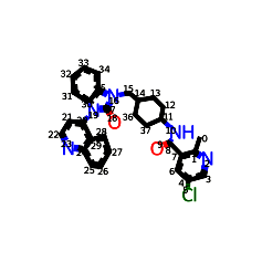 Cc1ncc(Cl)cc1C(=O)NC1CCC(Cn2c(=O)n(-c3ccnc4ccccc34)c3ccccc32)CC1